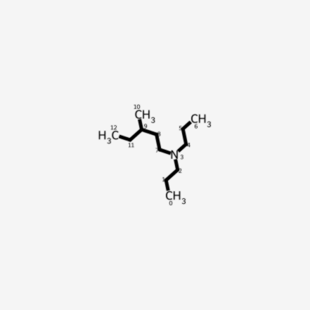 CCCN(CCC)CCC(C)CC